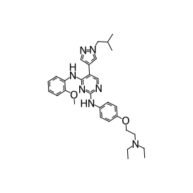 CCN(CC)CCOc1ccc(Nc2ncc(-c3cnn(CC(C)C)c3)c(Nc3ccccc3OC)n2)cc1